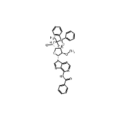 CO[C@@H]1[C@H](O[Si](c2ccccc2)(c2ccccc2)C(C)(C)C)[C@@H](CCl)O[C@H]1n1cnc2c(NC(=O)c3ccccc3)ncnc21